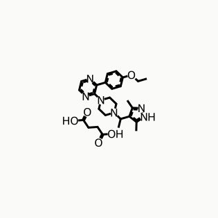 CCOc1ccc(-c2nccnc2N2CCN(C(C)c3c(C)n[nH]c3C)CC2)cc1.O=C(O)CCC(=O)O